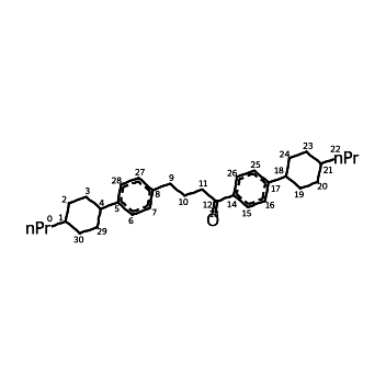 CCCC1CCC(c2ccc(CCCC(=O)c3ccc(C4CCC(CCC)CC4)cc3)cc2)CC1